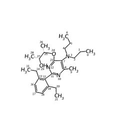 CCCN(CCC)c1c(C)nc(-c2c(CC)cccc2CC)nc1O[C@@H](C)[C@@H](C)O